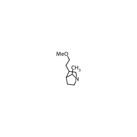 COCCC1CN2CCC1C2C